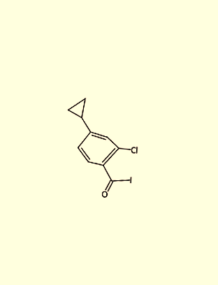 O=C(I)c1ccc(C2CC2)cc1Cl